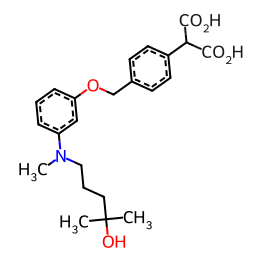 CN(CCCC(C)(C)O)c1cccc(OCc2ccc(C(C(=O)O)C(=O)O)cc2)c1